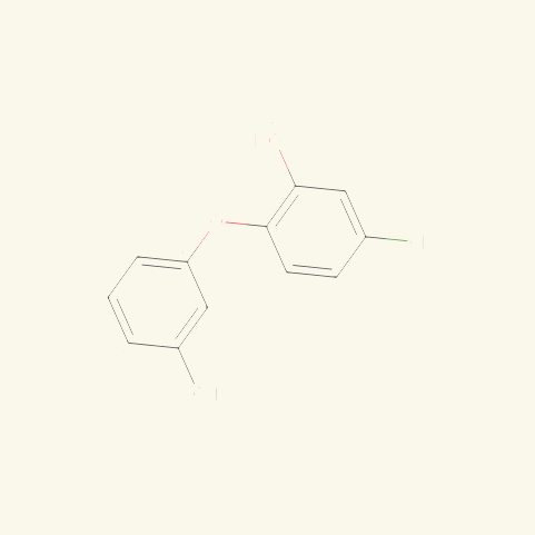 Cc1cccc(Oc2ccc(Cl)cc2O)c1